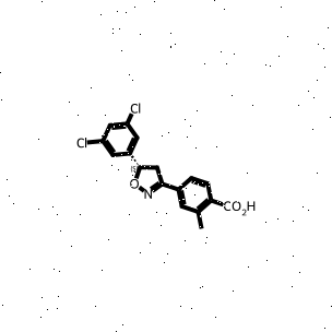 Cc1cc(C2=NO[C@H](c3cc(Cl)cc(Cl)c3)C2)ccc1C(=O)O